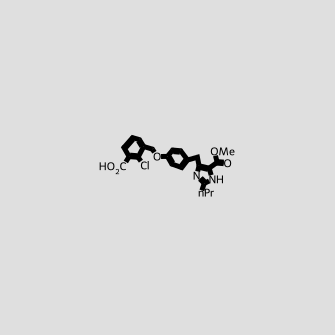 CCCc1nc(Cc2ccc(OCc3cccc(C(=O)O)c3Cl)cc2)c(C(=O)OC)[nH]1